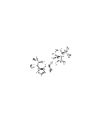 CC(C(N)=O)c1sccc1CC(=O)OCC1C(=O)N2C(C(=O)O)=CCS[C@@H]12